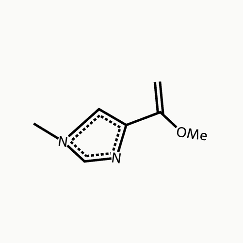 C=C(OC)c1cn(C)cn1